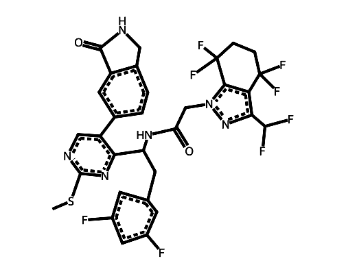 CSc1ncc(-c2ccc3c(c2)C(=O)NC3)c(C(Cc2cc(F)cc(F)c2)NC(=O)Cn2nc(C(F)F)c3c2C(F)(F)CCC3(F)F)n1